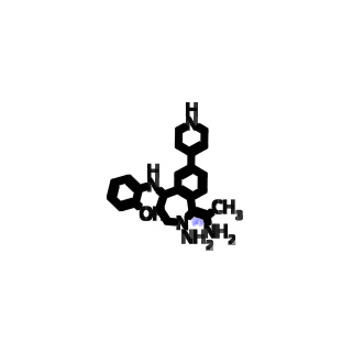 C/C(N)=C1\c2ccc(C3=CCNCC3)cc2C(Nc2ccccc2O)CCN1N